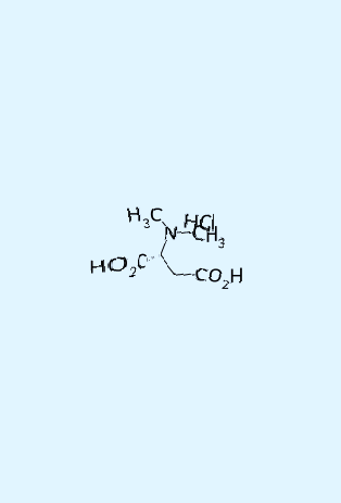 CN(C)[C@H](CC(=O)O)C(=O)O.Cl